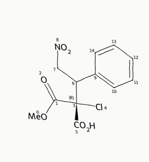 COC(=O)[C@](Cl)(C(=O)O)C(C[N+](=O)[O-])c1ccccc1